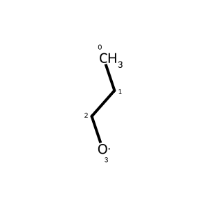 CCC[O]